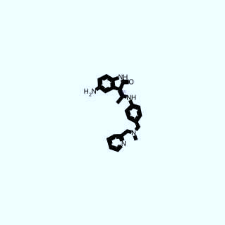 C/C(Nc1ccc(CN(C)Cc2ccccn2)cc1)=C1/C(=O)Nc2ccc(N)cc21